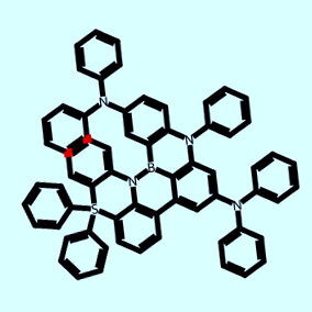 c1ccc(N(c2ccccc2)c2ccc3c(c2)B2c4c(cc(N(c5ccccc5)c5ccccc5)cc4N3c3ccccc3)-c3cccc4c3N2c2ccccc2S4(c2ccccc2)c2ccccc2)cc1